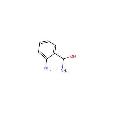 Nc1ccccc1C(N)O